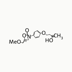 COC[C@@H]1CN(c2ccc(OCC[C@@H](C)O)cc2)C(=O)O1